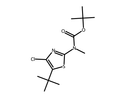 CN(C(=O)OC(C)(C)C)c1nc(Cl)c(C(C)(C)C)s1